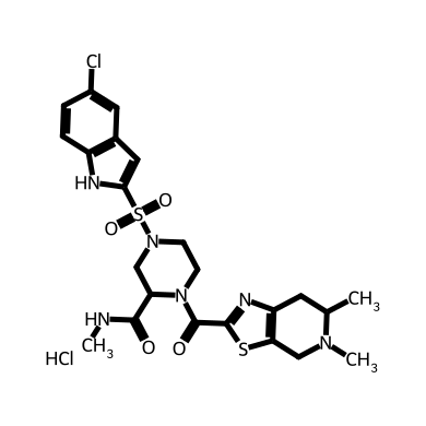 CNC(=O)C1CN(S(=O)(=O)c2cc3cc(Cl)ccc3[nH]2)CCN1C(=O)c1nc2c(s1)CN(C)C(C)C2.Cl